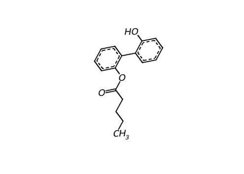 CCCCC(=O)Oc1ccccc1-c1ccccc1O